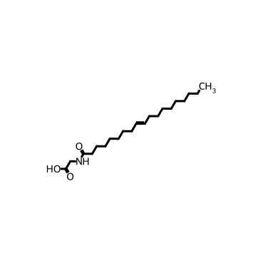 CCCCCCCCCC=CCCCCCCCC(=O)NCC(=O)O